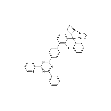 c1ccc(-c2nc(-c3ccc(-c4cccc5c4Oc4ccccc4C54c5ccccc5-c5ccccc54)cc3)nc(-c3ccccn3)n2)cc1